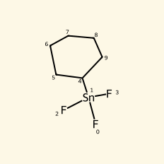 [F][Sn]([F])([F])[CH]1CCCCC1